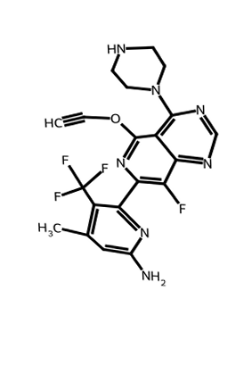 C#COc1nc(-c2nc(N)cc(C)c2C(F)(F)F)c(F)c2ncnc(N3CCNCC3)c12